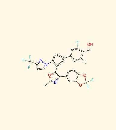 Cc1nc(-c2ccc3c(c2)OC(F)(F)O3)c(-c2cc(-c3cc(C)c(CO)c(F)c3)ccc2-n2ccc(C(F)(F)F)n2)o1